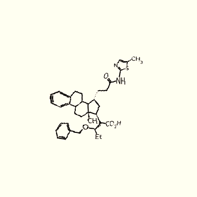 CCC(OCc1ccccc1)C(C(=O)O)[C@@H]1C[C@@H](CCC(=O)Nc2ncc(C)s2)C2C3CCc4ccccc4C3CC[C@]21C